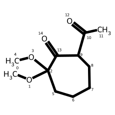 COC1(OC)CCCCC(C(C)=O)C1=O